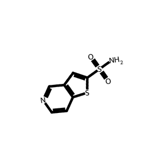 NS(=O)(=O)c1cc2cnccc2s1